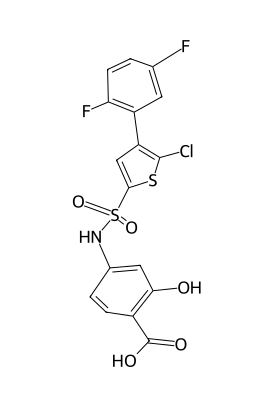 O=C(O)c1ccc(NS(=O)(=O)c2cc(-c3cc(F)ccc3F)c(Cl)s2)cc1O